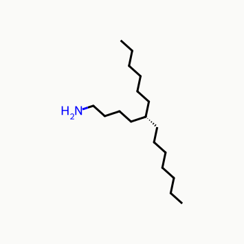 CCCCCCC[C@H](CCCCN)CCCCCC